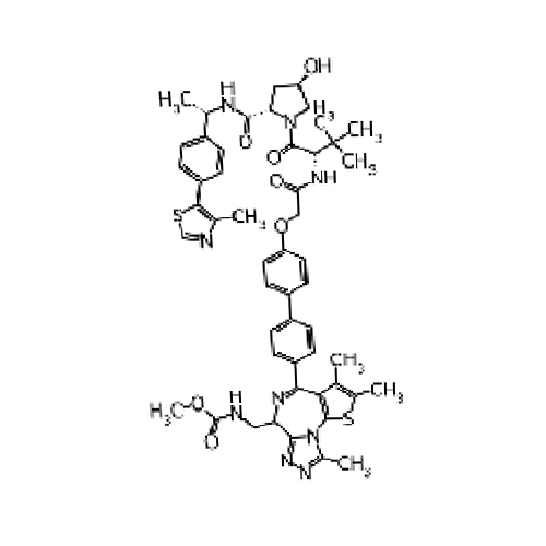 COC(=O)NCC1N=C(c2ccc(-c3ccc(OCC(=O)N[C@H](C(=O)N4C[C@H](O)C[C@H]4C(=O)N[C@@H](C)c4ccc(-c5scnc5C)cc4)C(C)(C)C)cc3)cc2)c2c(sc(C)c2C)-n2c(C)nnc21